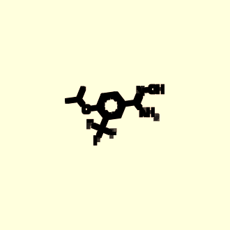 CC(C)Oc1ccc(C(N)=NO)cc1C(F)(F)F